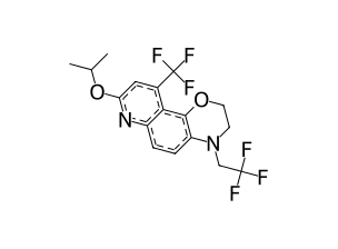 CC(C)Oc1cc(C(F)(F)F)c2c3c(ccc2n1)N(CC(F)(F)F)CCO3